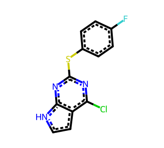 Fc1ccc(Sc2nc(Cl)c3cc[nH]c3n2)cc1